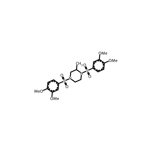 COc1ccc(S(=O)(=O)N2CCN(S(=O)(=O)c3ccc(OC)c(OC)c3)C(C)C2)cc1OC